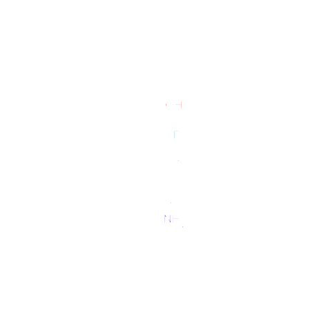 Cc1c(N)ccc(C(F)(F)CO)c1C